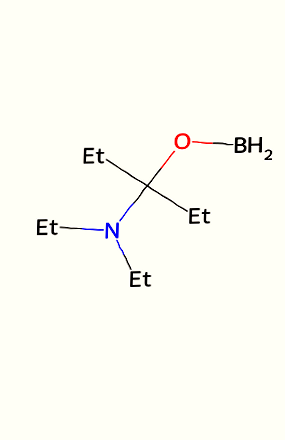 BOC(CC)(CC)N(CC)CC